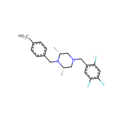 C[C@@H]1CN(Cc2cc(F)c(F)cc2F)C[C@H](C)N1Cc1ccc(C(=O)O)cc1